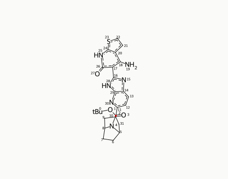 CC(C)(C)OC(=O)N1C2CCC1CC(c1ccc3nc(-c4c(N)c5ccsc5[nH]c4=O)[nH]c3n1)C2